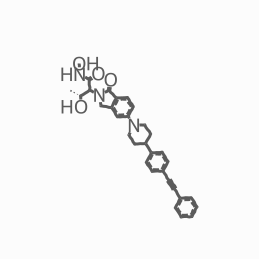 C[C@@H](O)C(C(=O)NO)N1Cc2cc(N3CCC(c4ccc(C#Cc5ccccc5)cc4)CC3)ccc2C1=O